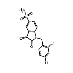 NS(=O)(=O)c1ccc2c(c1)C(=O)C(=O)N2Cc1ccc(Cl)cc1Cl